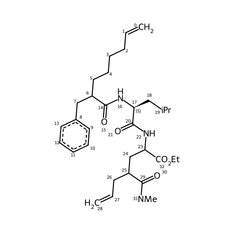 C=CCCCCC(Cc1ccccc1)C(=O)N[C@@H](CC(C)C)C(=O)NC(CC(CC=C)C(=O)NC)C(=O)OCC